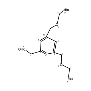 CC(C)(C)COCc1cc(CC=O)cc(COCC(C)(C)C)c1